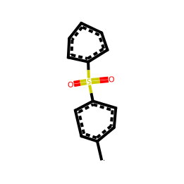 [CH2]c1ccc(S(=O)(=O)c2ccccc2)cc1